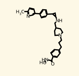 Cc1ccc(-c2ccc(C3CC3NCC3CCN(CCCc4ccc(C(=O)NO)cc4)CC3)cc2)cn1